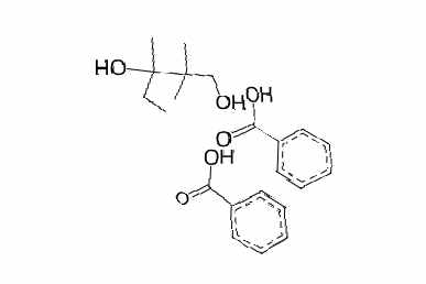 CCC(C)(O)C(C)(C)CO.O=C(O)c1ccccc1.O=C(O)c1ccccc1